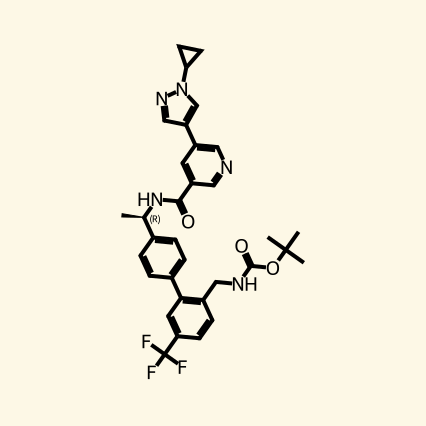 C[C@@H](NC(=O)c1cncc(-c2cnn(C3CC3)c2)c1)c1ccc(-c2cc(C(F)(F)F)ccc2CNC(=O)OC(C)(C)C)cc1